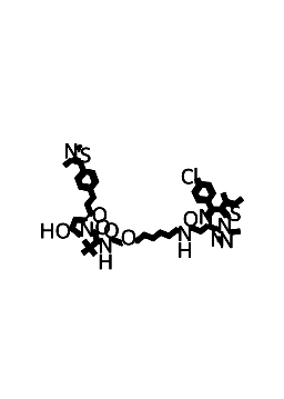 Cc1ncsc1-c1ccc(CCC(=O)[C@@H]2CC(O)CN2C(=O)[C@@H](NC(=O)COCCCCCCNC(=O)CC2N=C(c3ccc(Cl)cc3)c3c(sc(C)c3C)-n3c(C)nnc32)C(C)(C)C)cc1